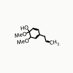 C=CCC1=CC(OC)C(O)(OC)C=C1